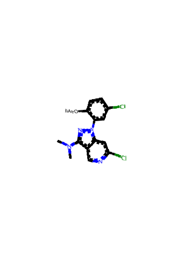 COc1ccc(Cl)cc1-n1nc(N(C)C)c2cnc(Cl)cc21